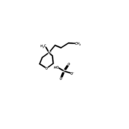 CCCC[N+]1(C)CCOCC1.O=S(=O)([O-])O